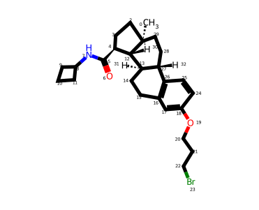 C[C@@]12CC[C@H](C(=O)NC3CCC3)[C@H]1[C@@H]1CCc3cc(OCCCBr)ccc3[C@H]1CC2